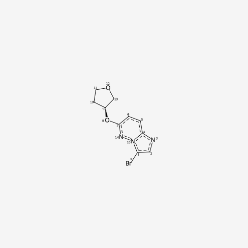 Brc1cnc2ccc(O[C@H]3CCOC3)nn12